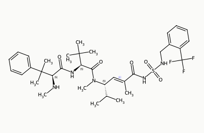 CN[C@H](C(=O)N[C@H](C(=O)N(C)[C@H](/C=C(\C)C(=O)NS(=O)(=O)NCc1ccccc1C(F)(F)F)C(C)C)C(C)(C)C)C(C)(C)c1ccccc1